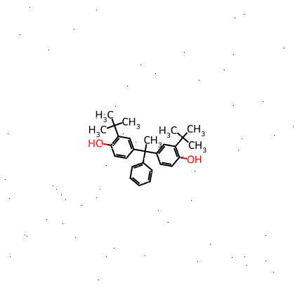 CC(C)(C)c1cc(C(C)(c2ccccc2)c2ccc(O)c(C(C)(C)C)c2)ccc1O